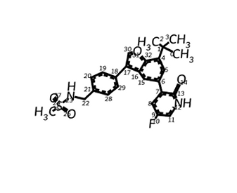 CC(C)(C)c1cc(-c2cc(F)c[nH]c2=O)cc2c(-c3ccc(CNS(C)(=O)=O)cc3)coc12